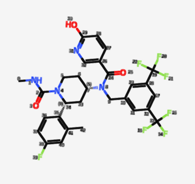 CNC(=O)N1CC[C@H](N(Cc2cc(C(F)(F)F)cc(C(F)(F)F)c2)C(=O)c2ccc(O)nc2)C[C@@H]1c1ccc(F)cc1C